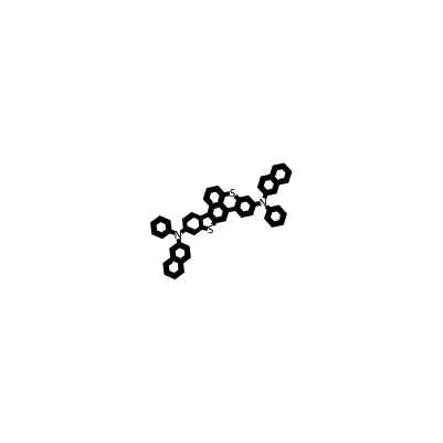 C1=CC2c3c(cc4c5c(cccc35)Sc3cc(N(c5ccccc5)c5ccc6ccccc6c5)ccc3-4)SC2C=C1N(c1ccccc1)c1ccc2ccccc2c1